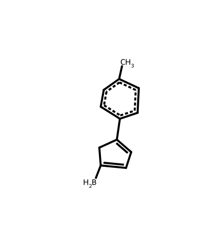 BC1=CC=C(c2ccc(C)cc2)C1